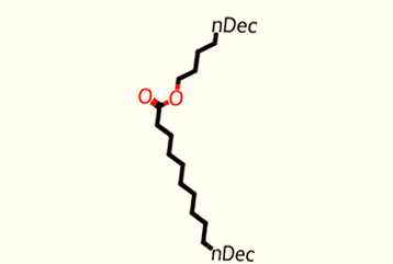 CCCCCCCCCCCCCCCCCCCC(=O)OCCCCCCCCCCCCCC